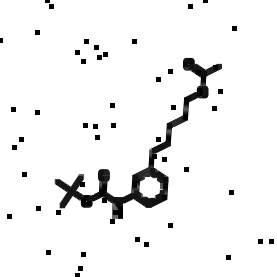 CC(=O)OCCCCCc1cccc(NC(=O)OC(C)(C)C)c1